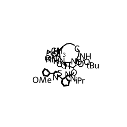 COc1ccccc1-c1csc(-c2cccc3c2nc(O[C@@H]2C[C@H]4C(=O)N[C@]5(C(=O)NS(=O)(=O)C6(C)CC6)C[C@H]5/C=C\CCCCC[C@H](NC(=O)OC(C)(C)C)C(=O)N4C2)n3C(C)C)n1